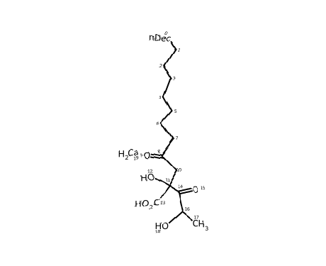 CCCCCCCCCCCCCCCCCC(=O)CC(O)(C(=O)O)C(=O)C(C)O.[CaH2]